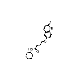 O=C(CCCOc1ccc2[nH]c(=O)ccc2c1)NC1CCCCC1